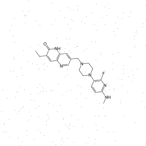 CCc1cc2ncc(CN3CCN(c4ccc(NC)nc4F)CC3)cc2[nH]c1=O